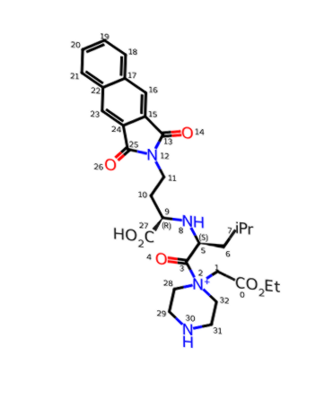 CCOC(=O)C[N+]1(C(=O)[C@H](CC(C)C)N[C@H](CCN2C(=O)c3cc4ccccc4cc3C2=O)C(=O)O)CCNCC1